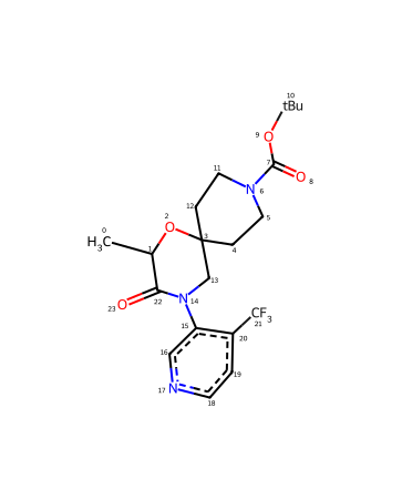 CC1OC2(CCN(C(=O)OC(C)(C)C)CC2)CN(c2cnccc2C(F)(F)F)C1=O